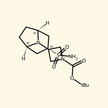 CC(C)(C)OC(=O)N1CC(N2[C@@H]3CC[C@H]2C[C@H](S(N)(=O)=O)C3)C1